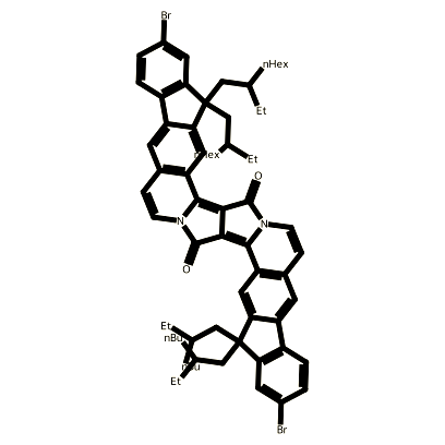 CCCCCCC(CC)CC1(CC(CC)CCCCCC)c2cc(Br)ccc2-c2cc3c(cc21)C1=C2C(=O)N4C=Cc5cc6c(cc5C4=C2C(=O)N1C=C3)C(CC(CC)CCCC)(CC(CC)CCCC)c1cc(Br)ccc1-6